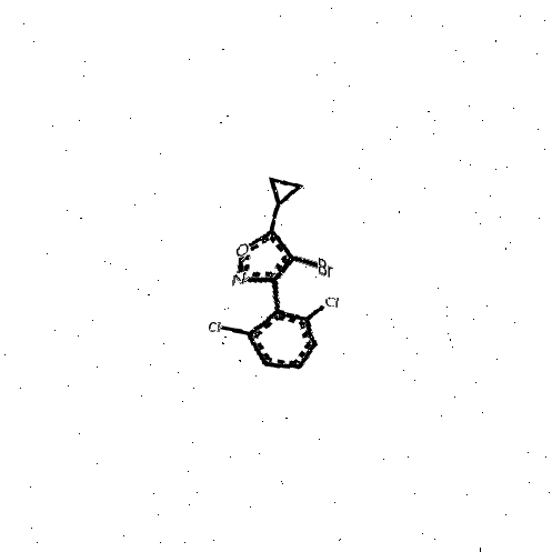 Clc1cccc(Cl)c1-c1noc(C2CC2)c1Br